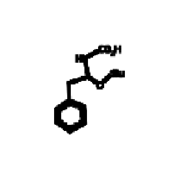 CC(C)(C)OC(Cc1cc[c]cc1)NC(=O)O